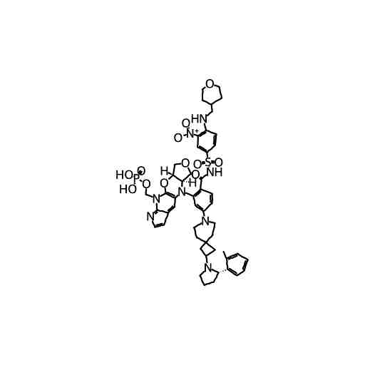 Cc1ccccc1[C@@H]1CCCN1C1CC2(CCN(c3ccc(C(=O)NS(=O)(=O)c4ccc(NCC5CCOCC5)c([N+](=O)[O-])c4)c(N4c5cc6ccnc-6n(COP(=O)(O)O)c5O[C@@H]5COC[C@H]54)c3)CC2)C1